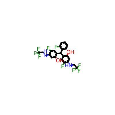 Oc1cc(NCC(F)(F)F)c(F)cc1C(c1cc(F)c(NCC(F)(F)F)cc1O)c1ccccc1F